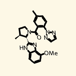 COc1cccc2[nH]c([C@@H]3[C@@H](C)CCN3C(=O)c3cc(C)ccc3-n3nccn3)nc12